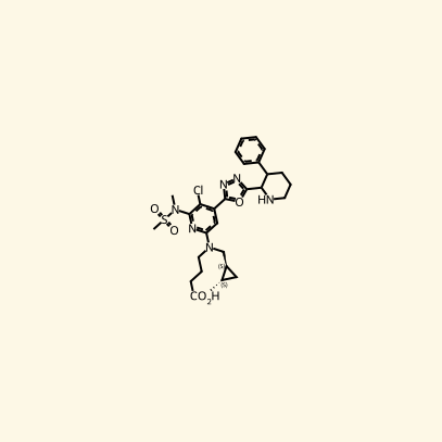 C[C@H]1C[C@@H]1CN(CCCC(=O)O)c1cc(-c2nnc(C3NCCCC3c3ccccc3)o2)c(Cl)c(N(C)S(C)(=O)=O)n1